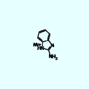 Nc1nc2ccccc2[nH]1.[Mn]